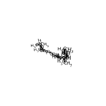 COC[C@H]1CN[C@H](C)CN1CC(=O)N1CC(C)(C)c2ncc(Cc3cccc(OCCOCCOCCNC(=O)CN4CCC(c5cc(OC(C)C)c(Nc6ncc(Cl)c(Nc7ccccc7S(=O)(=O)C(C)C)n6)cc5C)CC4)c3)cc21